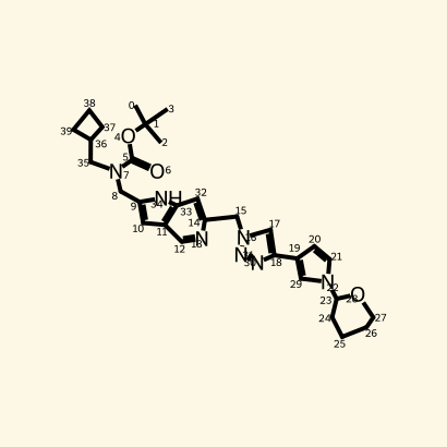 CC(C)(C)OC(=O)N(Cc1cc2cnc(Cn3cc(-c4ccn(C5CCCCO5)c4)nn3)cc2[nH]1)CC1CCC1